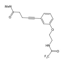 CNC(=O)CCC#Cc1cccc(OCCNC(=O)C(F)(F)F)c1